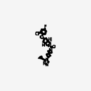 O=C(N1C[C@H]2CC(Oc3ccc(F)cc3Cl)C[C@H]2C1)N1CC2(CC(n3cnnc3C3CC3)C2)C1